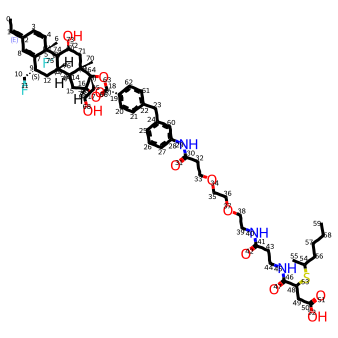 C/C=C1\C=C[C@@]2(C)C(=C1)[C@@H](CF)C[C@H]1[C@@H]3C[C@H]4O[C@@H](c5ccc(Cc6cccc(NC(=O)CCOCCOCCNC(=O)CCNC(=O)C(CC(=O)O)SC(C)CCCC)c6)cc5)O[C@@]4(C(=O)CO)[C@@]3(C)C[C@H](O)[C@@]12F